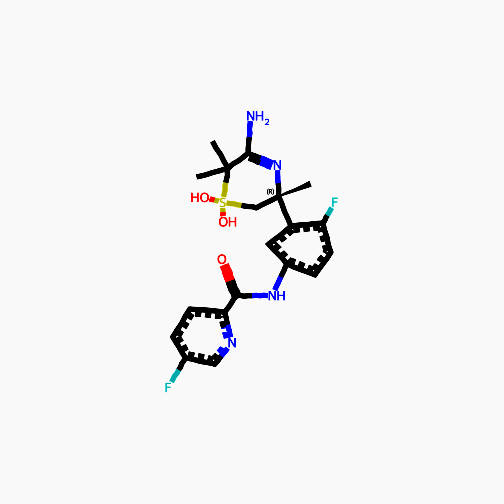 CC1(C)C(N)=N[C@](C)(c2cc(NC(=O)c3ccc(F)cn3)ccc2F)CS1(O)O